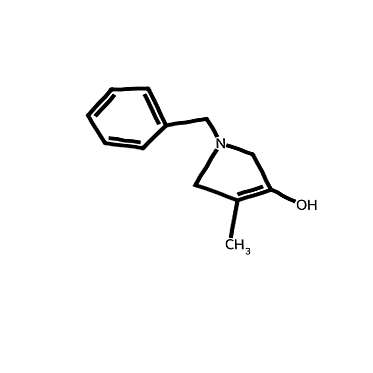 CC1=C(O)CN(Cc2ccccc2)C1